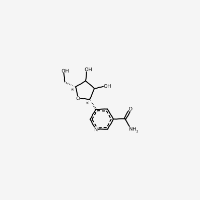 NC(=O)c1cncc([C@@H]2O[C@H](CO)C(O)C2O)c1